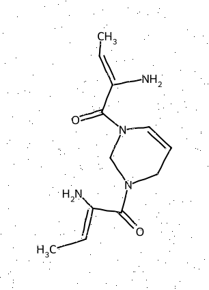 CC=C(N)C(=O)N1C=CCN(C(=O)C(N)=CC)C1